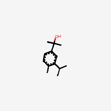 Cc1ccc(C(C)(C)O)cc1C(C)C